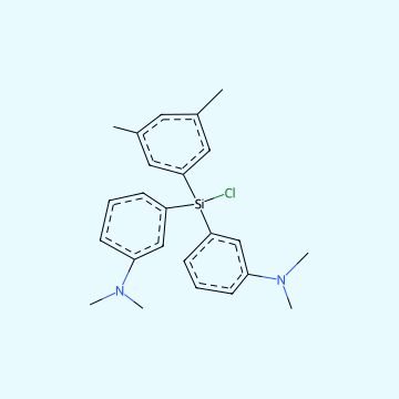 Cc1cc(C)cc([Si](Cl)(c2cccc(N(C)C)c2)c2cccc(N(C)C)c2)c1